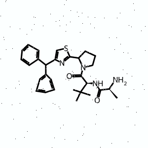 C[C@H](N)C(=O)N[C@H](C(=O)N1CCCC1c1nc(C(c2ccccc2)c2ccccc2)cs1)C(C)(C)C